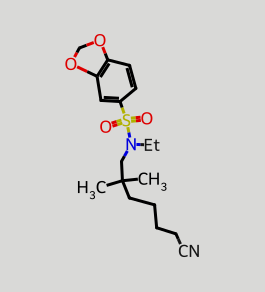 CCN(CC(C)(C)CCCCC#N)S(=O)(=O)c1ccc2c(c1)OCO2